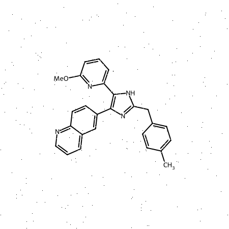 COc1cccc(-c2[nH]c(Cc3ccc(C)cc3)nc2-c2ccc3ncccc3c2)n1